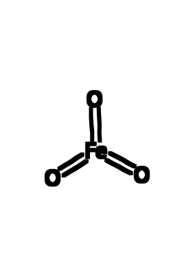 [O]=[Fe](=[O])=[O]